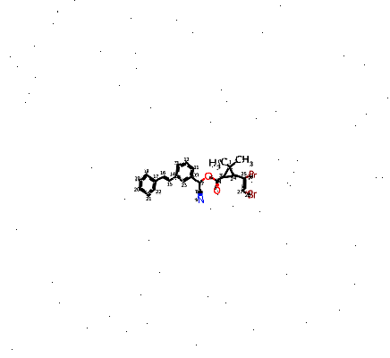 CC1(C)C(C(=O)OC(C#N)c2cccc(C=Cc3ccccc3)c2)C1C(Br)=CBr